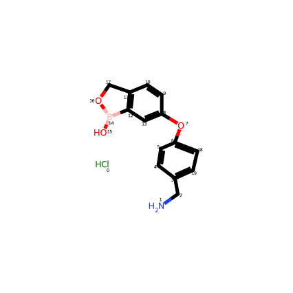 Cl.NCc1ccc(Oc2ccc3c(c2)B(O)OC3)cc1